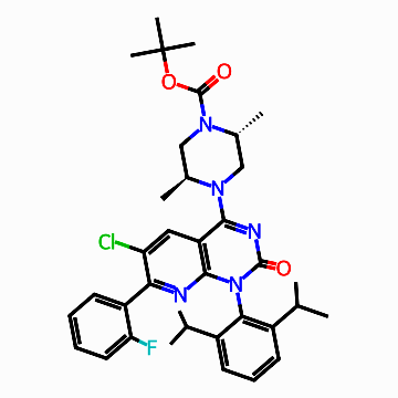 CC(C)c1cccc(C(C)C)c1-n1c(=O)nc(N2C[C@@H](C)N(C(=O)OC(C)(C)C)C[C@@H]2C)c2cc(Cl)c(-c3ccccc3F)nc21